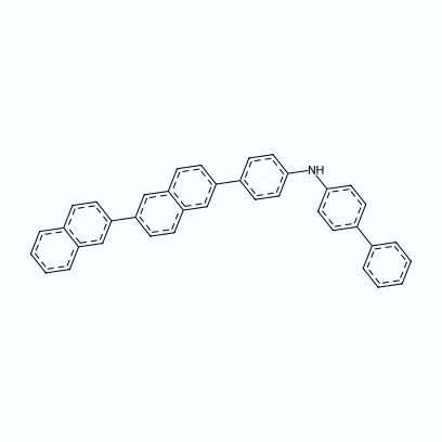 c1ccc(-c2ccc(Nc3ccc(-c4ccc5cc(-c6ccc7ccccc7c6)ccc5c4)cc3)cc2)cc1